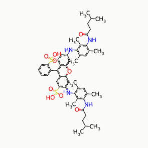 Cc1cc(C)c(NC(=O)CCC(C)C)c(C)c1/N=c1\cc2oc3cc(Nc4c(C)cc(C)c(NC(=O)CCC(C)C)c4C)ccc3c(-c3ccccc3S(=O)(=O)O)c-2cc1S(=O)(=O)O